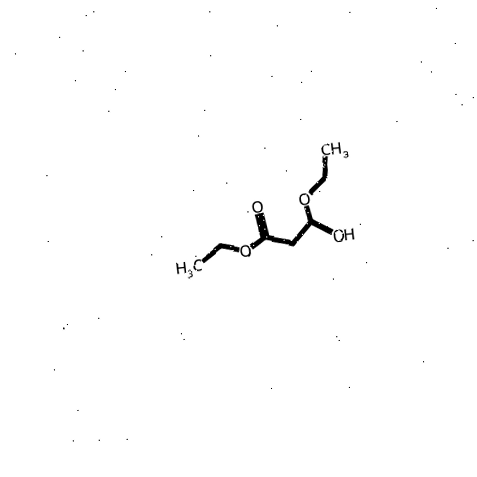 CCOC(=O)CC(O)OCC